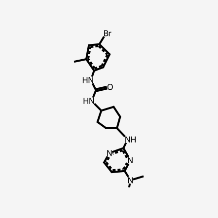 Cc1cc(Br)ccc1NC(=O)NC1CCC(Nc2nccc(N(C)C)n2)CC1